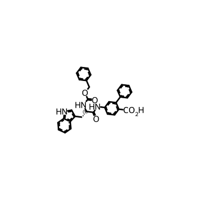 O=C(N[C@@H](Cc1c[nH]c2ccccc12)C(=O)Nc1ccc(C(=O)O)c(-c2ccccc2)c1)OCc1ccccc1